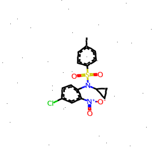 Cc1ccc(S(=O)(=O)N(c2ccc(Cl)cc2[N+](=O)[O-])C2CC2)cc1